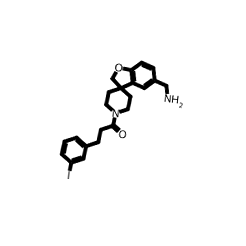 NCc1ccc2c(c1)C1(CCN(C(=O)CCc3cccc(I)c3)CC1)CO2